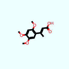 COc1cc(OC)c(C(C)=CC(=O)O)cc1OC